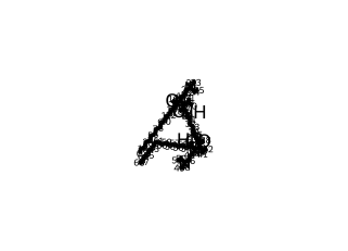 CCCCCCCCCCCCCCCC(=O)N(CCCN(CC)CC)C(C(=O)NCCCCCCNC(=O)C(C(C)C)N(CCCN(CC)CC)C(=O)CCCCCCCCCCCCCCC)C(C)C